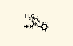 CN1CCN(Cc2ccccc2)C(CO)C1